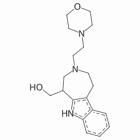 OCC1CN(CCN2CCOCC2)CCc2c1[nH]c1ccccc21